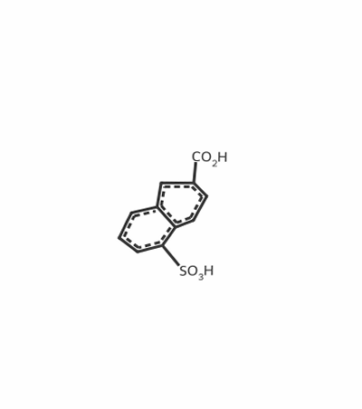 O=C(O)c1ccc2c(S(=O)(=O)O)cccc2c1